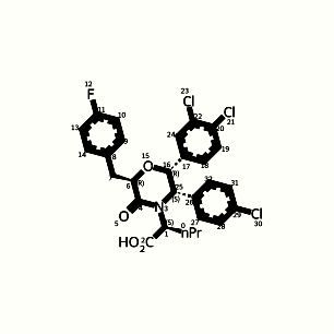 CCC[C@@H](C(=O)O)N1C(=O)[C@@H](Cc2ccc(F)cc2)O[C@H](c2ccc(Cl)c(Cl)c2)[C@@H]1c1ccc(Cl)cc1